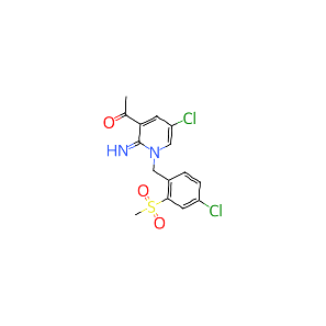 CC(=O)c1cc(Cl)cn(Cc2ccc(Cl)cc2S(C)(=O)=O)c1=N